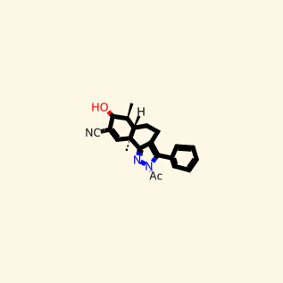 CC(=O)n1nc2c(c1-c1ccccc1)CC[C@H]1[C@H](C)C(O)C(C#N)=C[C@]21C